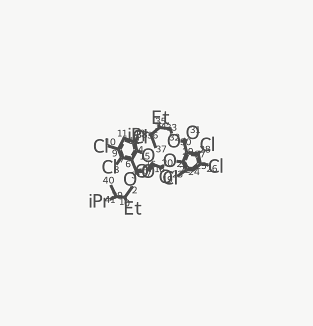 CCC(COC(=O)c1c(Cl)c(Cl)cc(Cl)c1OC(=O)C(=O)Oc1c(Cl)cc(Cl)c(Cl)c1C(=O)OCC(CC)C(C)C(C)C)C(C)C(C)C